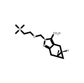 C[C@@]12Cc3nn(COCC[Si](C)(C)C)c(C(=O)O)c3C[C@@H]1C2